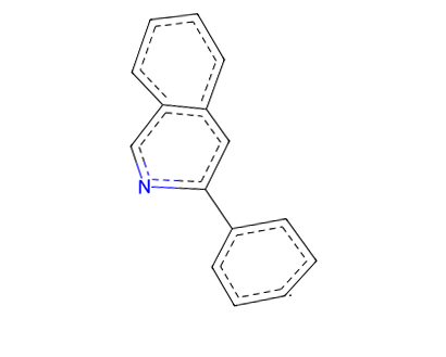 [c]1ccc(-c2cc3ccccc3cn2)cc1